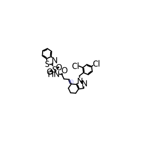 O=C(C/C=C1\CCCc2cnn(Cc3ccc(Cl)cc3Cl)c21)NS(=O)(=O)c1nc2ccccc2s1